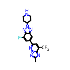 Cc1nc2c(C(F)(F)F)cc(-c3cc(F)c4nn(C5CCNCC5)nc4c3)nn2n1